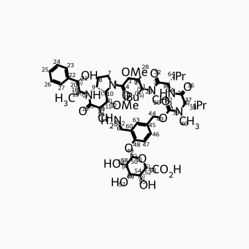 CC[C@H](C)[C@@H]([C@@H](CC(=O)N1CCC[C@H]1[C@H](OC)[C@@H](C)C(=O)N[C@H](C)[C@@H](O)c1ccccc1)OC)N(C)C(=O)[C@@H](NC(=O)[C@H](C(C)C)N(C)C(=O)OCc1ccc(O[C@@H]2O[C@H](C(=O)O)[C@@H](O)[C@H](O)[C@H]2O)c(CN)c1)C(C)C